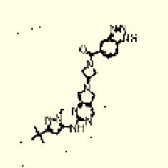 Cn1nc(C(C)(C)C)cc1Nc1ncc2c(n1)CN(C1CN(C(=O)c3ccc4[nH]nnc4c3)C1)C2